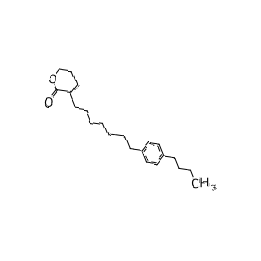 CCCCc1ccc(CCCCCCCC2CCCOC2=O)cc1